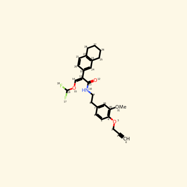 C#CCOc1ccc(CCNC(=O)/C(=C\OC(F)F)c2ccc3c(c2)CCCC3)cc1OC